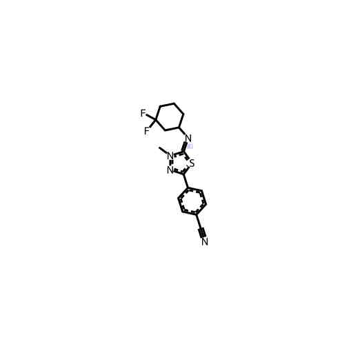 Cn1nc(-c2ccc(C#N)cc2)s/c1=N/C1CCCC(F)(F)C1